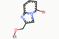 CCOCc1cn2c(Br)cccc2n1